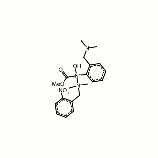 COC(=O)[N+](O)(c1ccccc1CN(C)C)[N+](C)(C)Cc1ccccc1[N+](=O)[O-]